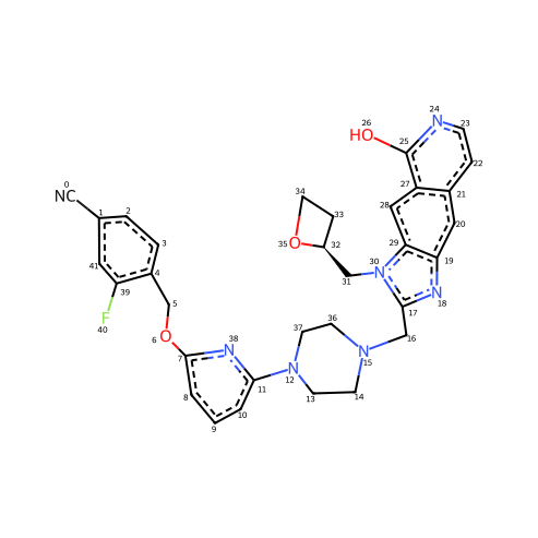 N#Cc1ccc(COc2cccc(N3CCN(Cc4nc5cc6ccnc(O)c6cc5n4C[C@@H]4CCO4)CC3)n2)c(F)c1